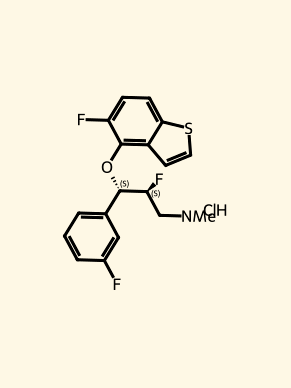 CNC[C@H](F)[C@@H](Oc1c(F)ccc2sccc12)c1cccc(F)c1.Cl